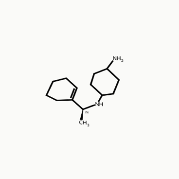 C[C@H](NC1CCC(N)CC1)C1=CCCCC1